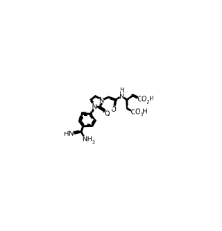 N=C(N)c1ccc(N2CCN(CC(=O)NC(CC(=O)O)CC(=O)O)C2=O)cc1